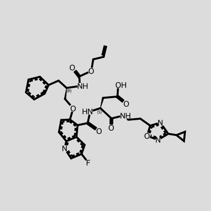 C=CCOC(=O)N[C@@H](COc1ccc2ncc(F)cc2c1C(=O)N[C@@H](CC(=O)O)C(=O)NCCc1nc(C2CC2)no1)Cc1ccccc1